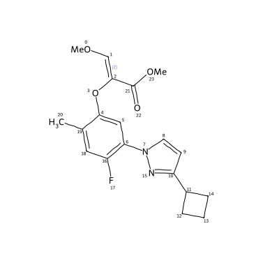 CO/C=C(\Oc1cc(-n2ccc(C3CCC3)n2)c(F)cc1C)C(=O)OC